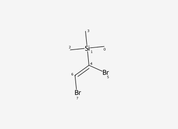 C[Si](C)(C)C(Br)=CBr